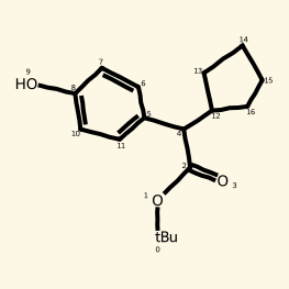 CC(C)(C)OC(=O)C(c1ccc(O)cc1)C1CCCC1